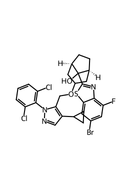 OC1(c2nc3c(F)cc(Br)cc3s2)[C@@H]2CC[C@H]1CC(OCc1c(C3CC3)cnn1-c1c(Cl)cccc1Cl)C2